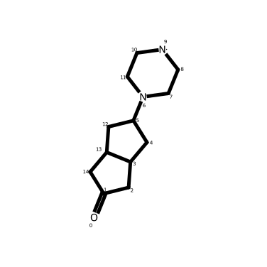 O=C1CC2CC(N3CC[N]CC3)CC2C1